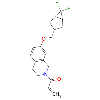 C=CC(=O)N1CCc2ccc(OCC3CC4C(C3)C4(F)F)cc2C1